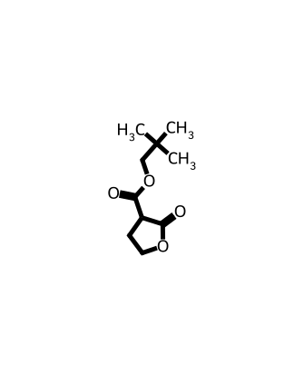 CC(C)(C)COC(=O)C1CCOC1=O